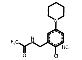 Cl.O=C(NCc1cc(N2CCCCC2)ccc1Cl)C(F)(F)F